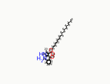 CCCCCCCCCCCCCCCCCCOC(=O)c1c(C)[nH]c(N)c1C(=O)c1ccccc1